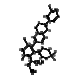 Cc1nccc(N2CCc3cc(-c4c(C)nc(C)c(C(OC(C)(C)C)C(=O)O)c4N4CCC(C)(C)CC4)ccc3C2)n1